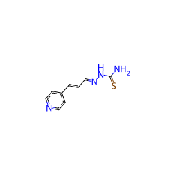 NC(=S)NN=CC=Cc1ccncc1